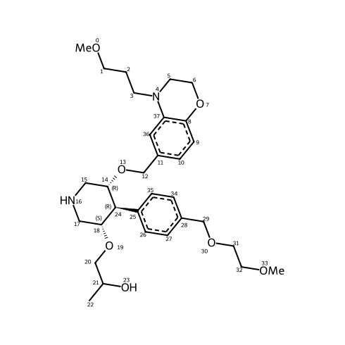 COCCCN1CCOc2ccc(CO[C@H]3CNC[C@@H](OCC(C)O)[C@@H]3c3ccc(COCCOC)cc3)cc21